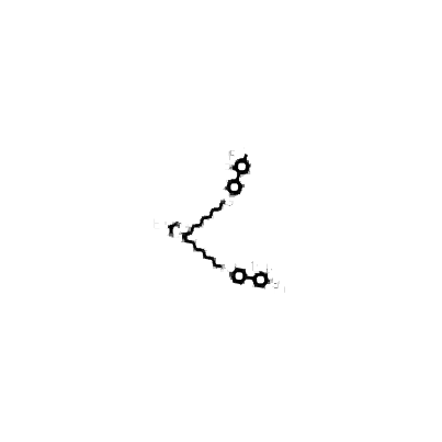 CCOc1ccc(-c2ccc(OCCCCCCCCC3(CCCCCCCCOc4ccc(-c5ccc(C)c(F)c5F)cc4)OCC(CC)CO3)cc2)c(F)c1F